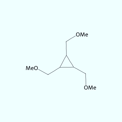 COCC1C(COC)C1COC